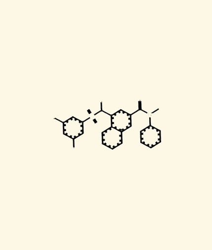 CN(C(=O)c1cc(C(C(=O)O)S(=O)(=O)c2cc(Cl)cc(Cl)c2)c2ccccc2c1)c1ccccc1